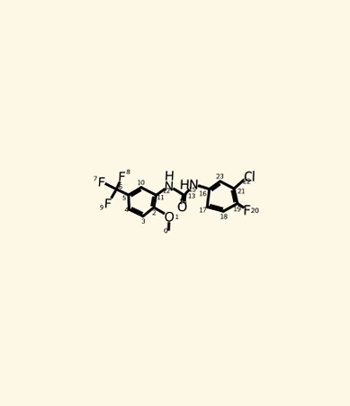 COc1ccc(C(F)(F)F)cc1NC(=O)Nc1ccc(F)c(Cl)c1